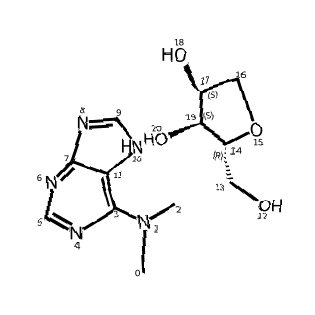 CN(C)c1ncnc2nc[nH]c12.OC[C@H]1OC[C@H](O)[C@@H]1O